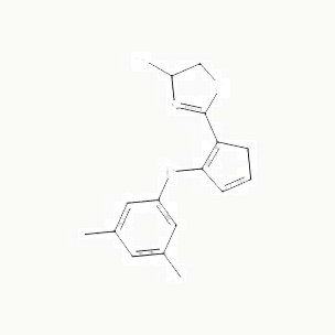 Cc1cc(C)cc(PC2=C(C3=NC(C(C)C)CO3)CC=C2)c1